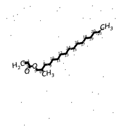 C=CC(=O)OCC(C)CCCCCCCCCCCCCCC